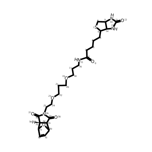 O=C(CCCCC1SCC2NC(=O)NC21)NCCCOCCCOCCN1C(=O)C2C3C=CC(O3)[C@@H]2C1=O